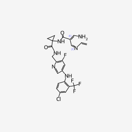 C=C/N=C\C(=C/N)C(=O)NC1(C(=O)NCc2ncc(Nc3ccc(Cl)cc3C(F)(F)F)cc2F)CC1